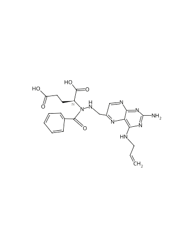 C=CCNc1nc(N)nc2ncc(CNN(C(=O)c3ccccc3)[C@@H](CCC(=O)O)C(=O)O)nc12